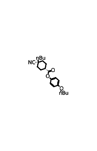 CCCCOc1ccc(OC(=O)[C@H]2CC[C@](C#N)(CCCC)CC2)cc1